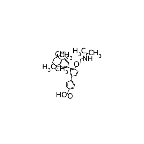 CC(C)NCCOc1ccc(-c2ccc(C(=O)O)cc2)cc1-c1ccc2c(c1)C(C)(C)CCC2(C)C